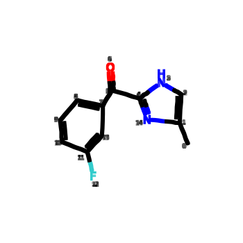 Cc1c[nH]c(C(=O)c2cccc(F)c2)n1